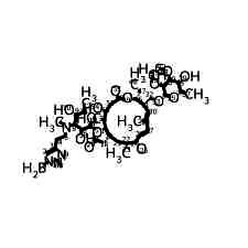 Bn1cc(CCN(C)C2C(O)C(C)OC(O[C@H]3[C@@H](CC=O)C[C@@H](C)C(=O)/C=C/C(C)=C/[C@H](COC4OC(C)C(O)C(OC)C4OC)[C@@H](CC)OC(=O)C[C@@H](O)[C@@H]3C)C2O)nn1